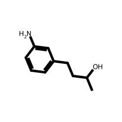 CC(O)CCc1cccc(N)c1